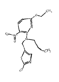 CCCN(Cc1cnc(Cl)s1)c1nc(OCC)ccc1[N+](=O)[O-]